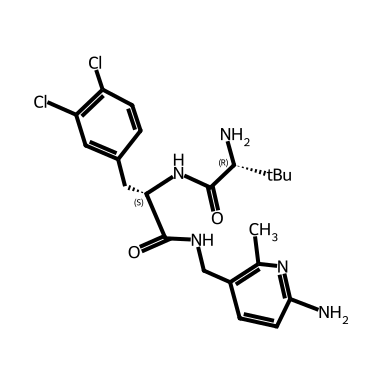 Cc1nc(N)ccc1CNC(=O)[C@H](Cc1ccc(Cl)c(Cl)c1)NC(=O)[C@H](N)C(C)(C)C